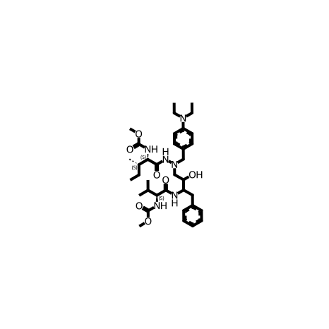 CC[C@H](C)[C@H](NC(=O)OC)C(=O)NN(Cc1ccc(N(CC)CC)cc1)CC(O)C(Cc1ccccc1)NC(=O)[C@@H](NC(=O)OC)C(C)C